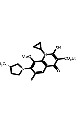 CCOC(=O)c1c(S)n(C2CC2)c2c(OC)c(N3CC[C@H](C)C3)c(F)cc2c1=O